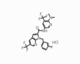 CN(C)c1ncc(NC(=O)c2cc3cc(C(F)(F)F)cnc3n2Cc2cccc(F)c2)cc1C(F)(F)F.Cl